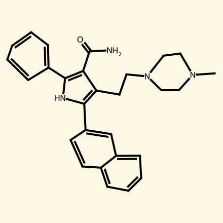 CN1CCN(CCc2c(-c3ccc4ccccc4c3)[nH]c(-c3ccccc3)c2C(N)=O)CC1